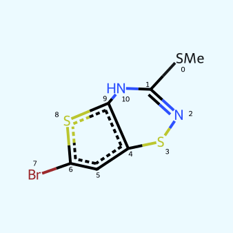 CSC1=NSc2cc(Br)sc2N1